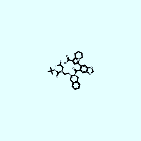 CC(C)(C)OC(=O)N(CC[C@@H]1Cc2ccccc2CN1C(=O)c1cc2c(cc1-c1cc(C(=O)O)c3n1CCCC3)OCO2)CC(F)F